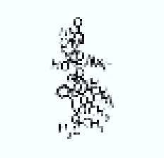 CC(C)OC(=O)CCc1ccccc1OP(=O)(N[C@@H](C)C(=O)OC(C)C)OC[C@@]1(CN=[N+]=[N-])O[C@@H](n2ccc(=O)[nH]c2=O)[C@H](F)[C@@H]1O